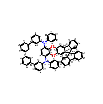 c1ccc(-c2cccc(N(c3ccccc3)c3ccc(N(c4ccccc4)c4cccc(-c5ccccc5)c4)c4c3Oc3cc5c(cc3O4)C3(c4ccccc4-c4ccccc43)c3ccccc3-5)c2)cc1